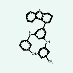 Cc1cccc(Nc2cc(Nc3cccc(C)c3)cc(-c3cccc4sc5ccccc5c34)c2)c1